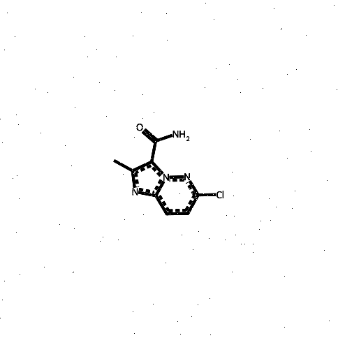 Cc1nc2ccc(Cl)nn2c1C(N)=O